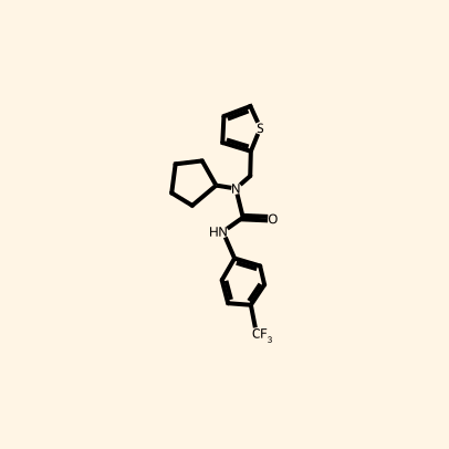 O=C(Nc1ccc(C(F)(F)F)cc1)N(Cc1cccs1)C1CCCC1